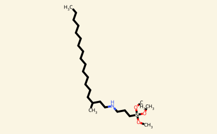 CCCCCCCCCCCCCCCC(C)CCNCCC[Si](OC)(OC)OC